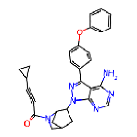 Nc1ncnc2c1c(-c1ccc(Oc3ccccc3)cc1)nn2C1CC2CC1N(C(=O)C#CC1CC1)C2